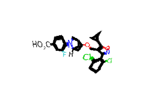 O=C(O)c1ccc(N2CC3C[C@@H]2C[C@@H]3OCc2c(-c3c(Cl)cccc3Cl)noc2C2CC2)c(F)c1